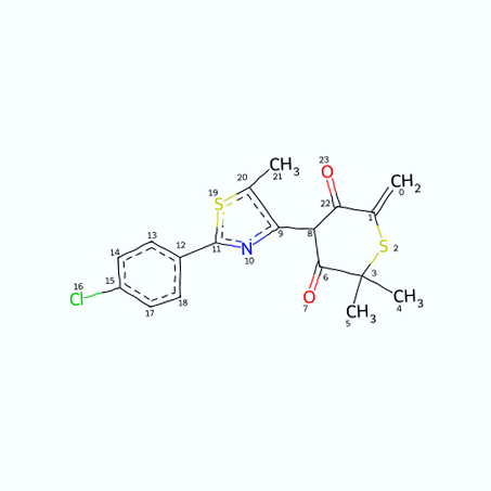 C=C1SC(C)(C)C(=O)C(c2nc(-c3ccc(Cl)cc3)sc2C)C1=O